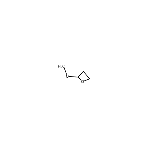 CO[C]1CCO1